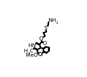 COC(=O)C1=C(C)NC=C(C(=O)OCCCSCCN)C1c1ccccc1Cl